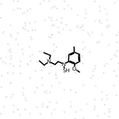 CCN(CC)CCN(S)c1cc(C)ccc1OC